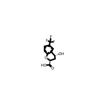 O=C(O)[C@@H]1C[C@@H](O)c2cc(C(F)(F)F)ccc2O1